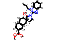 CCCn1c(N2CC[C@@]3(CCc4ccc(C(=O)OC)cc4C3)C2=O)nc2ccccc21